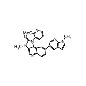 COc1ncccc1-n1c(=O)n(C)c2cnc3ccc(-c4cnc5c(ccn5C)c4)cc3c21